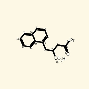 CC(C)C(=O)CC(Cc1cccc2ccccc12)C(=O)O